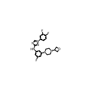 Fc1cc(Nc2ncn(-c3ccc(F)c(F)c3)n2)cc(N2CCN(C3COC3)CC2)c1